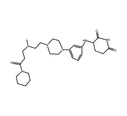 CN(CCC(=O)N1CCCCC1)CCN1CCN(c2cccc(NC3CCC(=O)NC3=O)c2)CC1